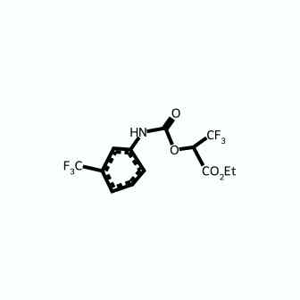 CCOC(=O)C(OC(=O)Nc1cccc(C(F)(F)F)c1)C(F)(F)F